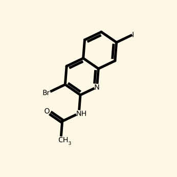 CC(=O)Nc1nc2cc(I)ccc2cc1Br